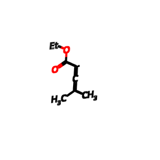 CCOC(=O)[C]=C=C(C)C